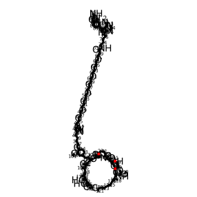 COC(=O)NC1C[C@@H]2CC[C@@H](C)[C@@](O)(O2)C(=O)C(=O)N2CCCC[C@H]2C(=O)OC([C@H](C)CC2CCC(OCCCCc3cn(CCOCCOCCOCCOCCOCCOCCOCCOCCC(=O)NCCCCn4nc(-c5ccc6oc(N)nc6c5)c5c(N)ncnc54)nn3)[C@H](OC)C2)CC(=O)C(C)/C=C(\C)C(O)[C@@H](O)C(=O)C(C)CC(C)/C=C/C=C/C=C/1C